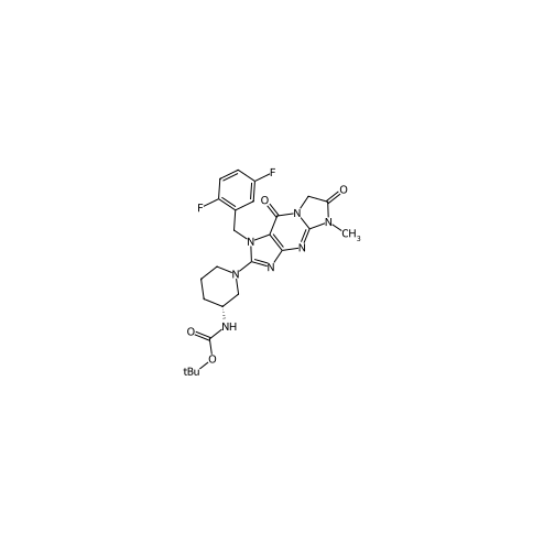 CN1C(=O)Cn2c1nc1nc(N3CCC[C@@H](NC(=O)OC(C)(C)C)C3)n(Cc3cc(F)ccc3F)c1c2=O